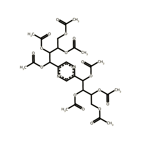 CC(=O)OCC(OC(C)=O)C(OC(C)=O)C(OC(C)=O)c1cnc(C(OC(C)=O)C(OC(C)=O)C(COC(C)=O)OC(C)=O)cn1